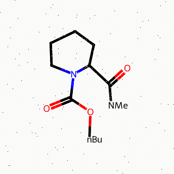 CCCCOC(=O)N1CCCCC1C(=O)NC